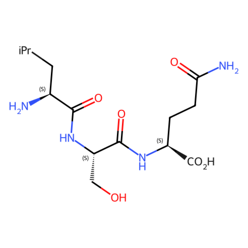 CC(C)C[C@H](N)C(=O)N[C@@H](CO)C(=O)N[C@@H](CCC(N)=O)C(=O)O